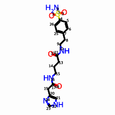 NS(=O)(=O)c1ccc(CCNC(=O)CCCNC(=O)Cc2c[nH]cn2)cc1